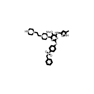 COc1c(Nc2cc(C)[nH]n2)nc(Sc2ccc(S(=O)(=O)Cc3ccccc3)cc2)nc1N1CCN(CCN2CCNCC2)CC1